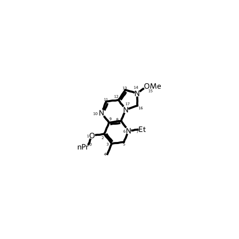 CCCOC1=C(C)CN(CC)C2=C1N=CC1=CN(OC)CN12